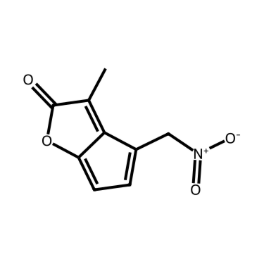 CC1=C2C(C[N+](=O)[O-])=CC=C2OC1=O